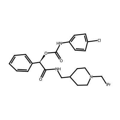 CC(C)CN1CCC(CNC(=O)[C@H](OC(=O)Nc2ccc(Cl)cc2)c2ccccc2)CC1